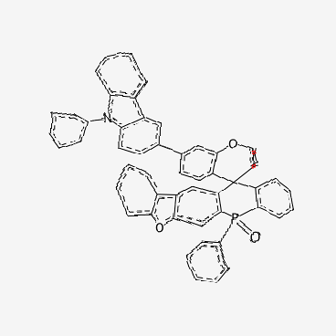 O=P1(c2ccccc2)c2ccccc2C2(c3ccccc3Oc3cc(-c4ccc5c(c4)c4ccccc4n5-c4ccccc4)ccc32)c2cc3c(cc21)oc1ccccc13